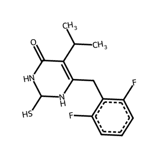 CC(C)C1=C(Cc2c(F)cccc2F)NC(S)NC1=O